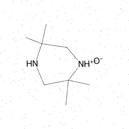 CC1(C)C[NH+]([O-])C(C)(C)CN1